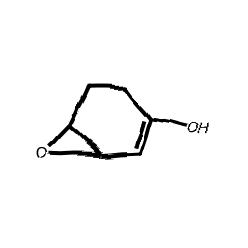 OC1=CC2OC2CC1